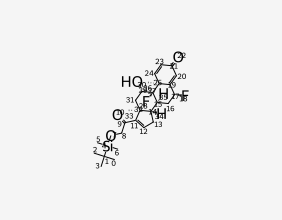 CC(C)(C)[Si](C)(C)OCC(=O)C1=CC[C@H]2[C@@H]3C[C@H](F)C4=CC(=O)C=C[C@]4(C)[C@@]3(F)[C@@H](O)C[C@]12C